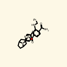 CC(=O)c1ccc(N2C3CCC2CC(NC(=O)c2ccc(C(N)=O)c(NCC(C)C)c2)C3)nc1